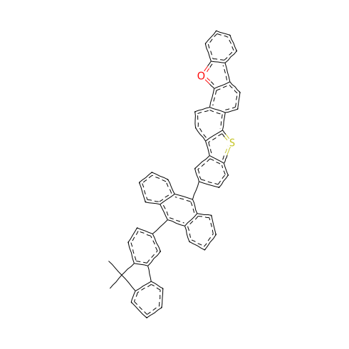 CC1(C)c2ccccc2-c2cc(-c3c4ccccc4c(-c4ccc5sc6c(ccc7c6ccc6c8ccccc8oc67)c5c4)c4ccccc34)ccc21